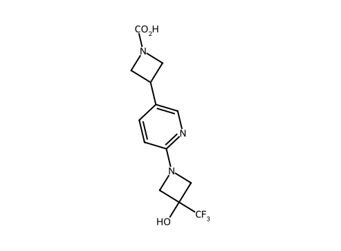 O=C(O)N1CC(c2ccc(N3CC(O)(C(F)(F)F)C3)nc2)C1